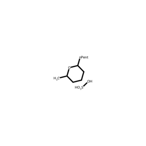 CCCCCC1CCCC(C)O1.O=S(=O)(O)O